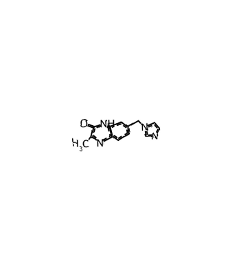 Cc1nc2ccc(Cn3ccnc3)cc2[nH]c1=O